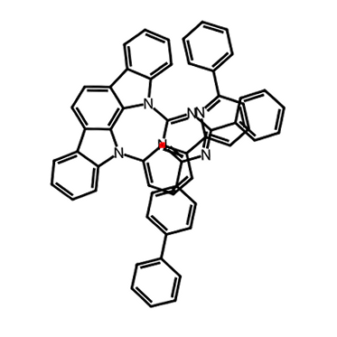 c1ccc(-c2ccc(-c3nc(-c4ccccc4)nc(-n4c5ccccc5c5ccc6c7ccccc7n(-c7cccc(-c8cccc(-c9ccccc9)n8)c7)c6c54)n3)cc2)cc1